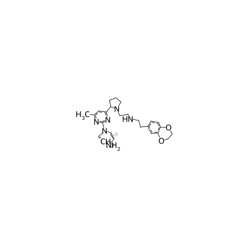 C=CN(/C=C\N)c1nc(C)cc(C2CCCN2CCNCCc2ccc3c(c2)OCCO3)n1